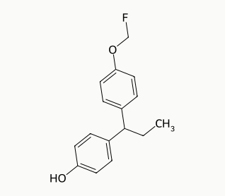 CCC(c1ccc(O)cc1)c1ccc(OCF)cc1